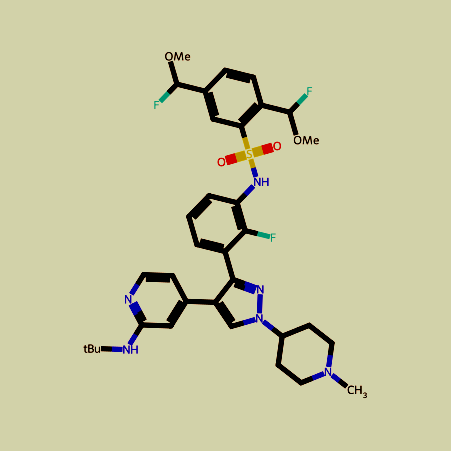 COC(F)c1ccc(C(F)OC)c(S(=O)(=O)Nc2cccc(-c3nn(C4CCN(C)CC4)cc3-c3ccnc(NC(C)(C)C)c3)c2F)c1